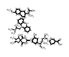 C=CCC1(C(C)CC)C(=O)NC(=O)NC1=O.CC(CN1c2ccccc2Sc2ccccc21)N(C)C.CC[C@@H](c1cccc(O)c1)[C@@H](C)CN(C)C.COc1ccc2cc([C@H](C)C(=O)O)ccc2c1.O=C(O)c1cccnc1